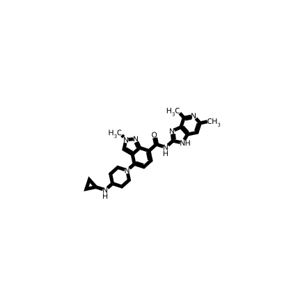 Cc1cc2[nH]c(NC(=O)c3ccc(N4CCC(NC5CC5)CC4)c4cn(C)nc34)nc2c(C)n1